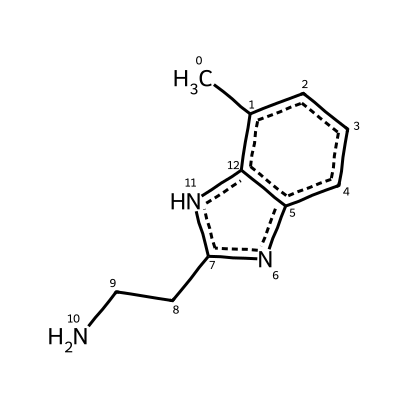 Cc1cccc2nc(CCN)[nH]c12